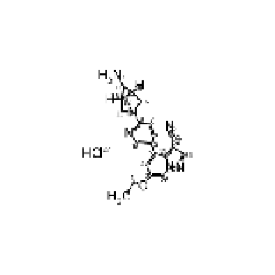 CCOc1cc(-c2ccc(N3C[C@@H]4C(N)[C@@H]4C3)nc2)c2c(C#N)cnn2c1.Cl